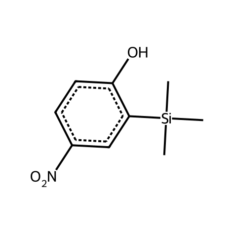 C[Si](C)(C)c1cc([N+](=O)[O-])ccc1O